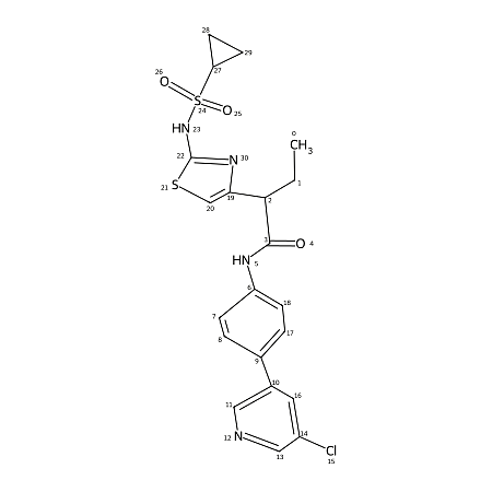 CCC(C(=O)Nc1ccc(-c2cncc(Cl)c2)cc1)c1csc(NS(=O)(=O)C2CC2)n1